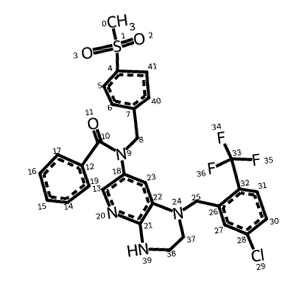 CS(=O)(=O)c1ccc(CN(C(=O)c2ccccc2)c2cnc3c(c2)N(Cc2cc(Cl)ccc2C(F)(F)F)CCN3)cc1